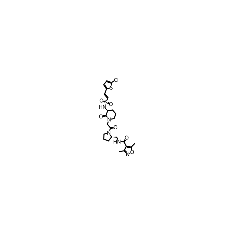 Cc1noc(C)c1C(=O)NC[C@H]1CCCN1C(=O)CN1CCC[C@H](NS(=O)(=O)/C=C/c2ccc(Cl)s2)C1=O